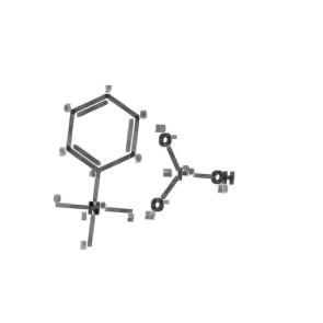 C[N+](C)(C)c1ccccc1.[O-][I+2]([O-])O